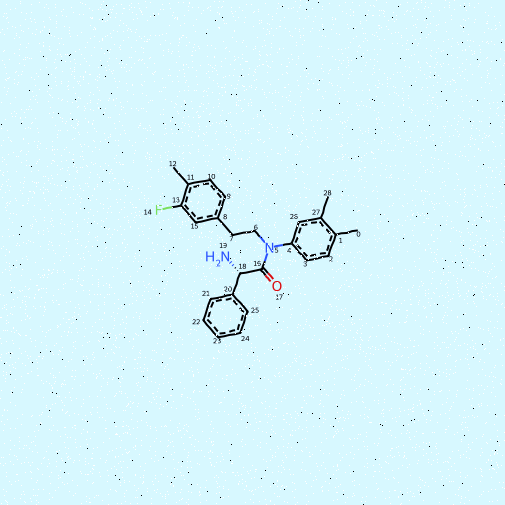 Cc1ccc(N(CCc2ccc(C)c(F)c2)C(=O)[C@@H](N)c2ccccc2)cc1C